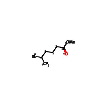 CCC(CCCC(=O)OC)C(F)(F)F